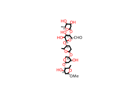 CO[C@@H]1C[C@@H](O)[C@H](O[C@H]2C[C@@H](O)[C@H](O[C@@H]3CC[C@H](O[C@@H]4O[C@@H](C=O)[C@@H](O[C@@H]5C[C@@H](O)[C@H](O)[C@H](C)O5)[C@H](O)C4O)C(C)O3)CO2)C(C)O1